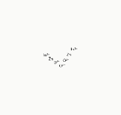 [In+3].[In+3].[O-2].[O-2].[O-2].[Zn].[Zn]